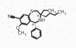 CCCC[C@]1(CC)CSc2cc(C#N)c(OC)cc2[C@@H](c2ccccc2)N1